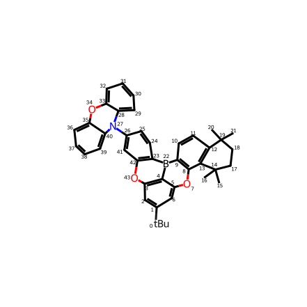 CC(C)(C)c1cc2c3c(c1)Oc1c(ccc4c1C(C)(C)CCC4(C)C)B3c1ccc(N3c4ccccc4Oc4ccccc43)cc1O2